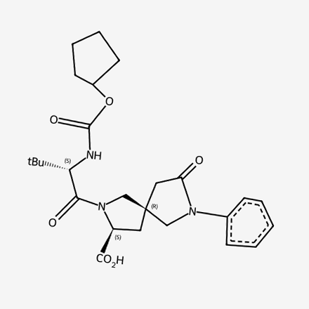 CC(C)(C)[C@H](NC(=O)OC1CCCC1)C(=O)N1C[C@]2(CC(=O)N(c3ccccc3)C2)C[C@H]1C(=O)O